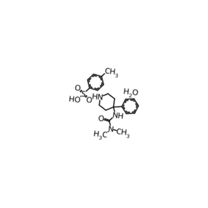 CN(C)C(=O)NC1(c2ccccc2)CCNCC1.Cc1ccc(S(=O)(=O)O)cc1.O